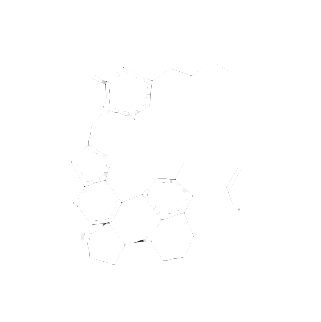 COCCc1cnn(Cc2cc3nccc(-c4cc(Cl)cc5c4N([C@H]4CCNC4)CCC5)c3s2)c(=O)c1.O=CO